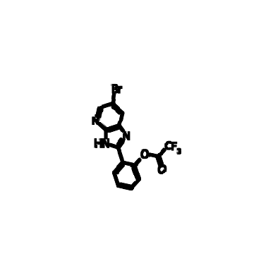 O=C(Oc1ccccc1-c1nc2cc(Br)cnc2[nH]1)C(F)(F)F